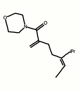 C=C(CC/C(=C\C)C(C)C)C(=O)N1CCOCC1